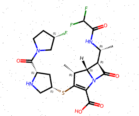 C[C@@H](NC(=O)C(F)F)[C@H]1C(=O)N2C(C(=O)O)=C(S[C@@H]3CN[C@H](C(=O)N4CC[C@H](F)C4)C3)[C@H](C)[C@H]12